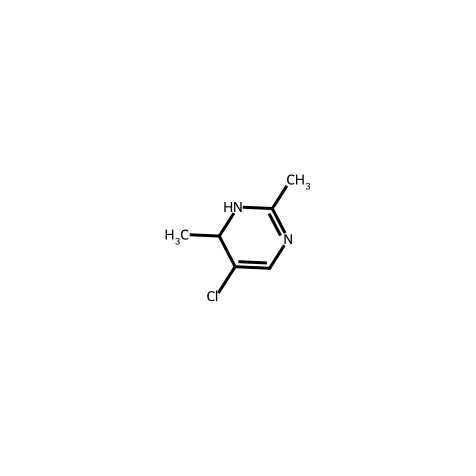 CC1=NC=C(Cl)C(C)N1